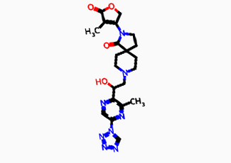 CC1=C(N2CCC3(CCN(CC(O)c4ncc(-n5cnnn5)nc4C)CC3)C2=O)COC1=O